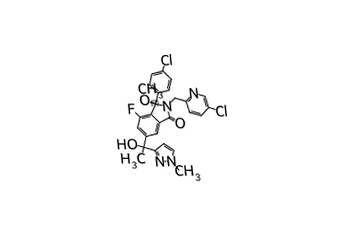 CO[C@]1(c2ccc(Cl)cc2)c2c(F)cc(C(C)(O)c3ccn(C)n3)cc2C(=O)N1Cc1ccc(Cl)cn1